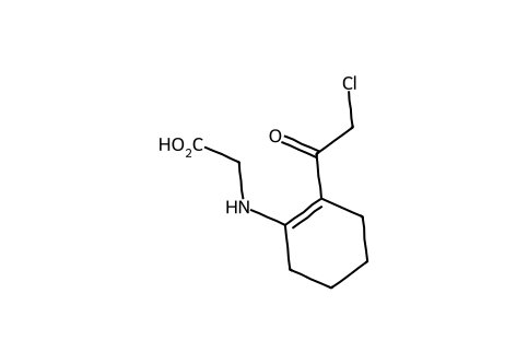 O=C(O)CNC1=C(C(=O)CCl)CCCC1